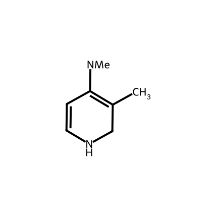 CNC1=C(C)CNC=C1